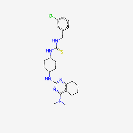 CN(C)c1nc(NC2CCC(NC(=S)NCc3cccc(Cl)c3)CC2)nc2c1CCCC2